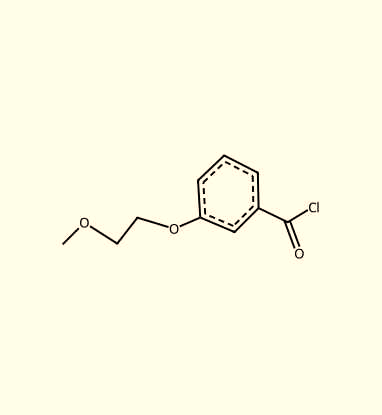 COCCOc1cccc(C(=O)Cl)c1